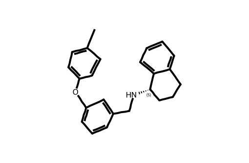 Cc1ccc(Oc2cccc(CN[C@H]3CCCc4ccccc43)c2)cc1